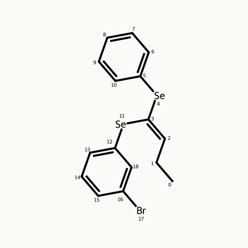 CCC=C([Se]c1ccccc1)[Se]c1cccc(Br)c1